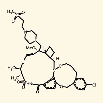 CO[C@@]1(CN2CCN(CCS(C)(=O)=O)CC2)/C=C/C[C@H](C)[C@@H](C)S(=O)(=O)NC(=O)c2ccc3c(c2)N(CCCCc2cc(Cl)ccc2CO3)C[C@@H]2CC[C@H]21